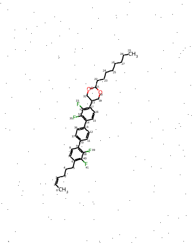 C/C=C\CCCc1ccc(-c2ccc(-c3ccc(C4COC(CCCCCCCC)OC4)c(F)c3F)cc2)c(F)c1F